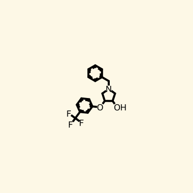 OC1CN(Cc2ccccc2)CC1Oc1cccc(C(F)(F)F)c1